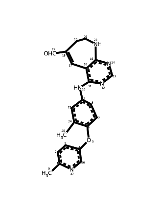 Cc1ccc(Oc2ccc(Nc3ncnc4c3C=C(C=O)CCN4)cc2C)cn1